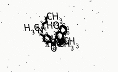 CCCCCN(C)Cc1ccc(C(=O)N2CC[C@@]3(C)c4cccc(O)c4C[C@@H]2C3(C)C)cc1